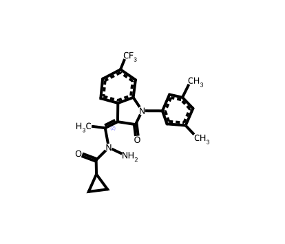 C/C(=C1/C(=O)N(c2cc(C)cc(C)c2)c2cc(C(F)(F)F)ccc21)N(N)C(=O)C1CC1